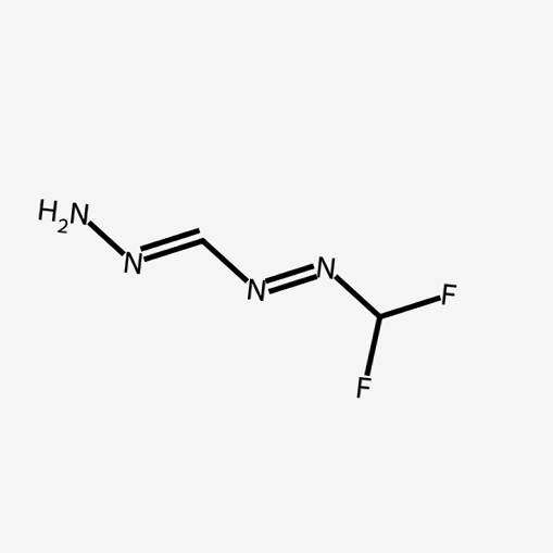 NN=CN=NC(F)F